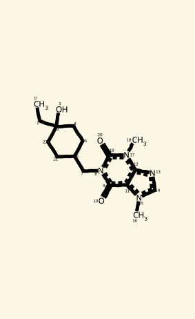 CCC1(O)CCC(Cn2c(=O)c3c(ncn3C)n(C)c2=O)CC1